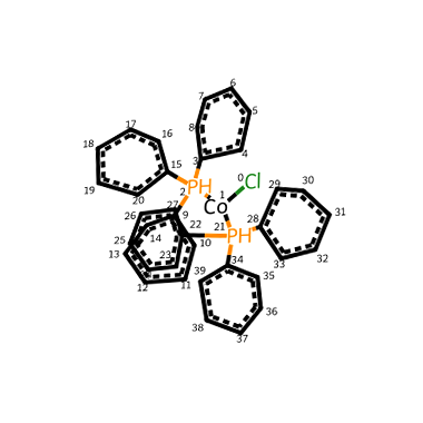 [Cl][Co]([PH](c1ccccc1)(c1ccccc1)c1ccccc1)[PH](c1ccccc1)(c1ccccc1)c1ccccc1